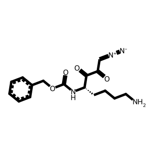 [N-]=[N+]=CC(=O)C(=O)[C@H](CCCCN)NC(=O)OCc1ccccc1